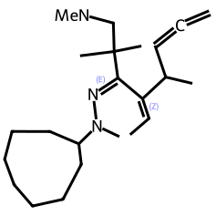 C=C=CC(C)C(=C/C)/C(=N\N(C)C1CCCCCCC1)C(C)(C)CNC